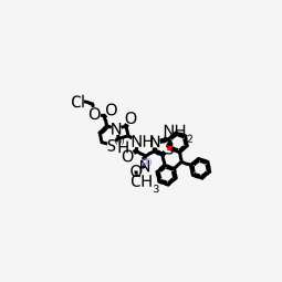 CO/N=C(\C(=O)NC1C(=O)N2C(C(=O)OCCl)=CCS[C@@H]12)c1nc(N)sc1-c1ccccc1C(c1ccccc1)c1ccccc1